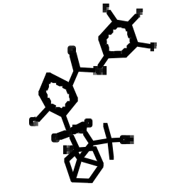 CC(C)(O)C(O)C1(O)C2CC1CC(S(=O)(=O)c1cc(C(=O)Nc3cc(F)c(F)c(F)c3)ccc1Cl)C2